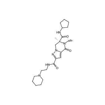 CCCN1C(=O)c2cc(C(=O)NCCN3CCCCC3)nn2C[C@@]1(C)C(=O)NC1CCCC1